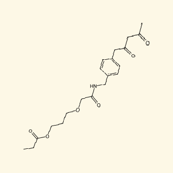 CCC(=O)OCCCOCC(=O)NCc1ccc(CC(=O)CC(C)=O)cc1